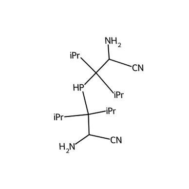 CC(C)C(PC(C(C)C)(C(C)C)C(N)C#N)(C(C)C)C(N)C#N